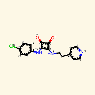 O=c1c(NCCc2ccncc2)c(Nc2ccc(Cl)cc2)c1=O